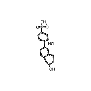 CS(=O)(=O)c1ccc(-c2ccc3cc(O)ccc3c2)cc1.Cl